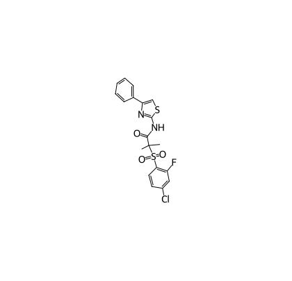 CC(C)(C(=O)Nc1nc(-c2ccccc2)cs1)S(=O)(=O)c1ccc(Cl)cc1F